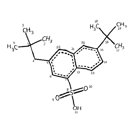 CC(C)(C)Cc1cc(S(=O)(=O)O)c2ccc(C(C)(C)C)cc2c1